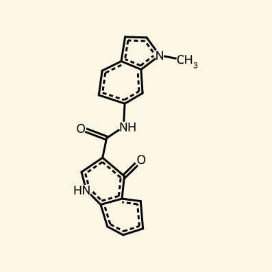 Cn1ccc2ccc(NC(=O)c3c[nH]c4ccccc4c3=O)cc21